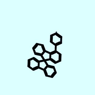 [c]1ccc(-c2cccc3c2-c2ccccc2C32c3ccccc3-c3ccccc32)cc1